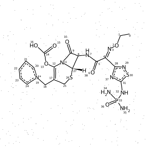 CCON=C(C(=O)NC1C(=O)N2C(OC(=O)O)=C(C[n+]3ccccc3)CS[C@@H]12)c1nsc(NP(N)(N)=O)n1